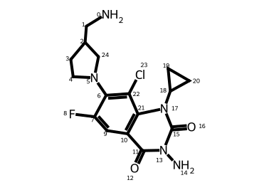 NCC1CCN(c2c(F)cc3c(=O)n(N)c(=O)n(C4CC4)c3c2Cl)C1